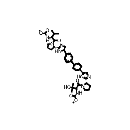 COC(=O)N[C@H](C(=O)N1CCC[C@H]1C1=NCC(c2ccc(-c3ccc(-c4cnc([C@@H]5CCCN5C(=O)[C@@H](NC(=O)OC)C(C)(C)O)[nH]4)cc3)cc2)N1)C(C)C